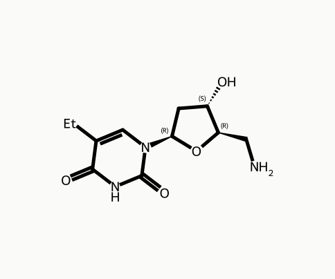 CCc1cn([C@H]2C[C@H](O)[C@@H](CN)O2)c(=O)[nH]c1=O